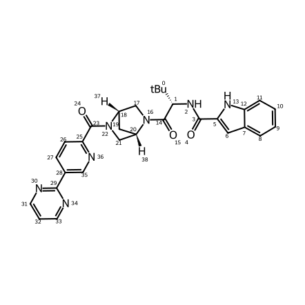 CC(C)(C)[C@H](NC(=O)c1cc2ccccc2[nH]1)C(=O)N1C[C@@H]2C[C@H]1CN2C(=O)c1ccc(-c2ncccn2)cn1